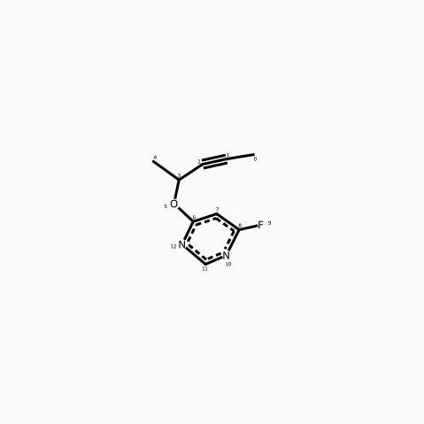 CC#CC(C)Oc1cc(F)ncn1